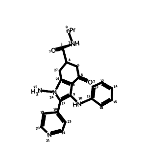 CCCNC(=O)C1CC(=O)c2c(Nc3ccccc3)c(-c3ccncc3)n(N)c2C1